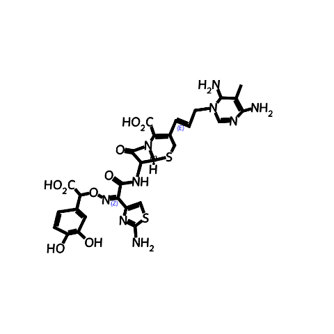 CC1=C(N)N=CN(C/C=C/C2=C(C(=O)O)N3C(=O)C(NC(=O)/C(=N\OC(C(=O)O)c4ccc(O)c(O)c4)c4csc(N)n4)[C@@H]3SC2)C1N